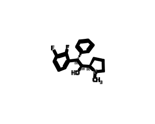 CN1CCC[C@@H]1[C@@H](O)[C@@H](c1ccccc1)c1cccc(F)c1F